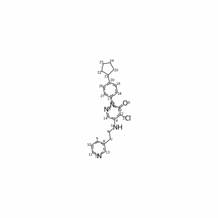 O=c1c(Cl)c(NCCc2cccnc2)cnn1-c1ccc(C2CCCC2)cc1